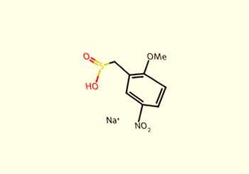 COc1ccc([N+](=O)[O-])cc1CS(=O)O.[Na+]